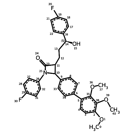 COc1ccc(-c2ccc(C3C(CC[C@H](O)c4ccc(F)cc4)C(=O)N3c3ccc(F)cc3)cc2)c(OC)c1OC